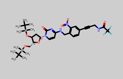 CC(C)(C)[Si](C)(C)OC[C@H]1O[C@@H](n2ccc(NCc3ccc(C#CCNC(=O)C(F)(F)F)cc3[N+](=O)[O-])nc2=O)CC1O[Si](C)(C)C(C)(C)C